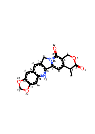 CC1C(=O)OCc2c1cc1n(c2=O)Cc2cc3cc4c(cc3nc2-1)OCO4